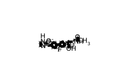 CC(=O)NC[C@H]1CN(c2ccc(-c3ccc(C[S+]([O-])c4ncc[nH]4)cc3)c(F)c2)C(O)O1